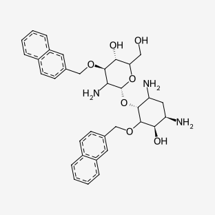 NC1C[C@@H](N)[C@@H](O)C(OCc2ccc3ccccc3c2)[C@@H]1O[C@H]1OC(CO)[C@@H](O)[C@H](OCc2ccc3ccccc3c2)C1N